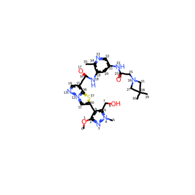 COc1nn(C)c(CO)c1-c1cn2ncc(C(=O)Nc3cc(NC(=O)CN4CC(C)(C)C4)cnc3C)c2s1